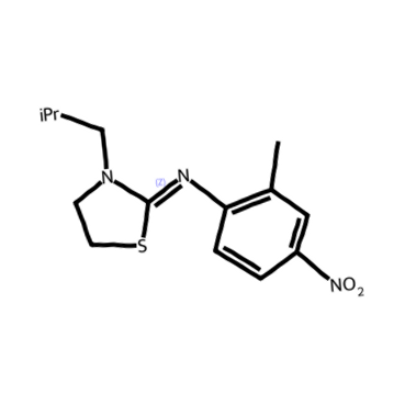 Cc1cc([N+](=O)[O-])ccc1/N=C1\SCCN1CC(C)C